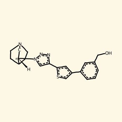 OCc1cccc(-c2csc(-c3cn([C@H]4CN5CCC4CC5)nn3)c2)c1